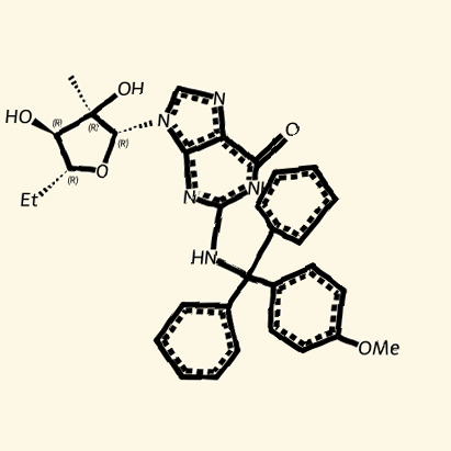 CC[C@H]1O[C@@H](n2cnc3c(=O)[nH]c(NC(c4ccccc4)(c4ccccc4)c4ccc(OC)cc4)nc32)[C@](C)(O)[C@@H]1O